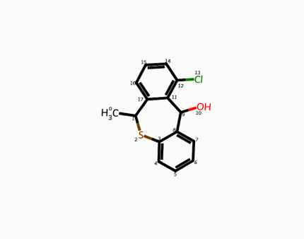 CC1Sc2ccccc2C(O)c2c(Cl)cccc21